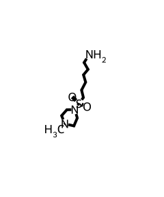 CN1CCN(S(=O)(=O)CCCCCCN)CC1